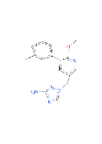 COc1ncc(Cn2cnc(N)n2)cc1-c1cccc(C)c1